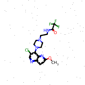 COc1ccc2ncc(Cl)c(N3CCN(CCNC(=O)C(F)(F)F)CC3)c2n1